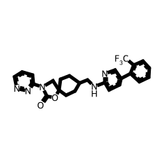 O=C1OC2(CCC(CNc3ccc(-c4ccccc4C(F)(F)F)cn3)CC2)CN1c1cccnn1